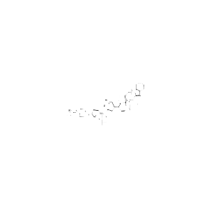 Cn1cc(-c2ccnc(N3CCn4c5c(c(F)c4C3=O)CCCC5)c2C=O)cc(Nc2ccc(N3CCN(C4COC4)CC3)cn2)c1=O